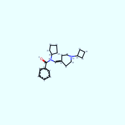 O=C(c1ccccc1)N(C=C1CCN(C2CCC2)CC1)C1CCCC1